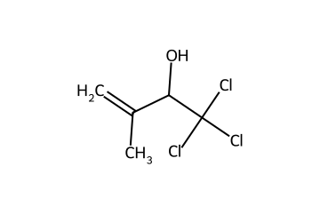 C=C(C)C(O)C(Cl)(Cl)Cl